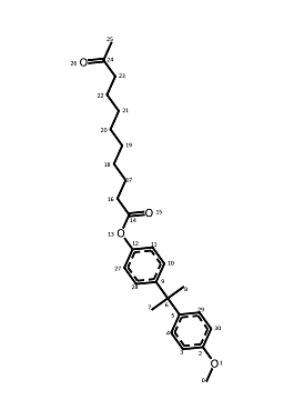 COc1ccc(C(C)(C)c2ccc(OC(=O)CCCCCCCCC(C)=O)cc2)cc1